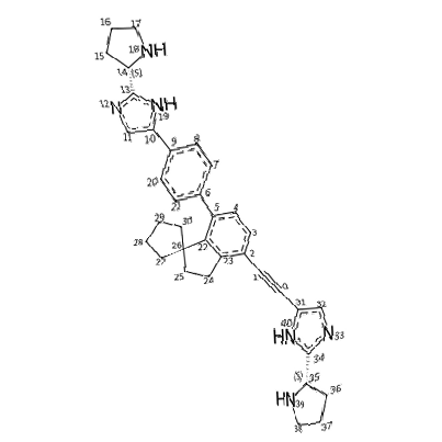 C(#Cc1ccc(-c2ccc(-c3cnc([C@@H]4CCCN4)[nH]3)cc2)c2c1CCC21CCCC1)c1cnc([C@@H]2CCCN2)[nH]1